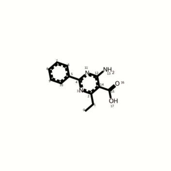 CCc1nc(-c2ccccc2)nc(N)c1C(=O)O